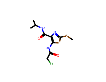 CSc1nc(C(=O)NC(C)C)c(NC(=O)CCl)s1